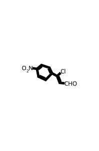 O=C/C=C(\Cl)c1ccc([N+](=O)[O-])cc1